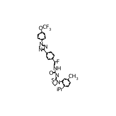 Cc1ccc(C(C)C)c(N2CCS/C2=N\C(=O)N/C=C(\F)c2ccc(-c3ncn(-c4ccc(OC(F)(F)F)cc4)n3)cc2)c1